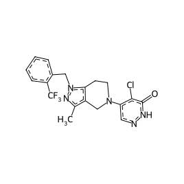 Cc1nn(Cc2ccccc2C(F)(F)F)c2c1CN(c1cn[nH]c(=O)c1Cl)CC2